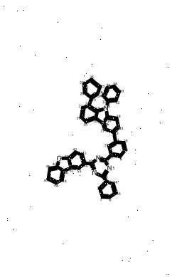 c1ccc(-c2nc(-c3cccc(-c4ccc5c(c4)c4cccc(-c6ccccc6)c4n5-c4ccccc4)c3)nc(-c3ccc4oc5ccccc5c4c3)n2)cc1